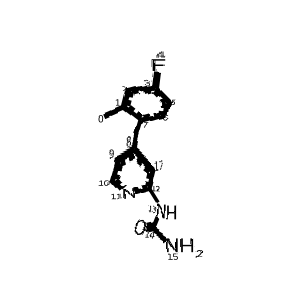 Cc1cc(F)ccc1-c1ccnc(NC(N)=O)c1